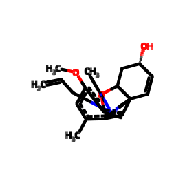 C=CC[N+]1(C)CCC23C=C[C@@H](O)CC2Oc2c(OC)cc(C)c(c23)C1